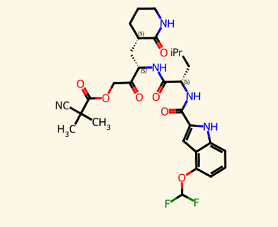 CC(C)C[C@H](NC(=O)c1cc2c(OC(F)F)cccc2[nH]1)C(=O)N[C@@H](C[C@@H]1CCCNC1=O)C(=O)COC(=O)C(C)(C)C#N